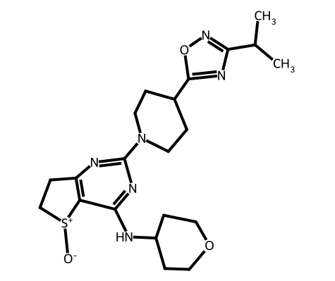 CC(C)c1noc(C2CCN(c3nc4c(c(NC5CCOCC5)n3)[S+]([O-])CC4)CC2)n1